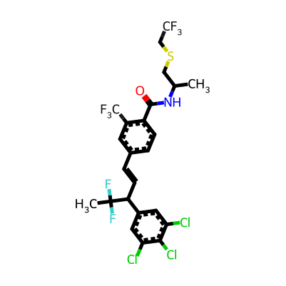 CC(CSCC(F)(F)F)NC(=O)c1ccc(/C=C/C(c2cc(Cl)c(Cl)c(Cl)c2)C(C)(F)F)cc1C(F)(F)F